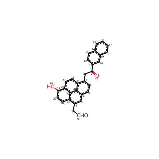 O=CCc1cc2ccc(CC(=O)c3ccc4ccccc4c3)c3ccc4c(O)ccc1c4c23